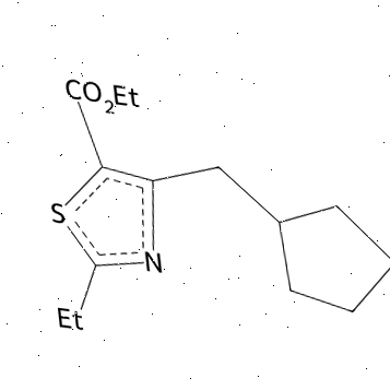 CCOC(=O)c1sc(CC)nc1CC1CCCC1